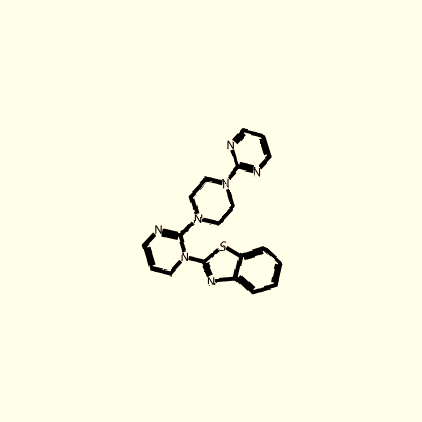 [CH]1C=CN=C(N2CCN(c3ncccn3)CC2)N1c1nc2ccccc2s1